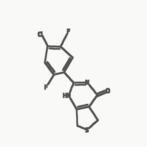 O=c1nc(-c2cc(F)c(Cl)cc2F)[nH]c2c1CSC2